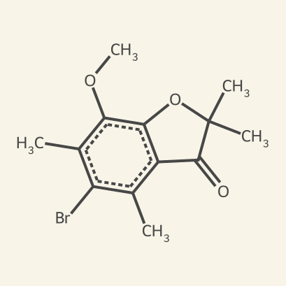 COc1c(C)c(Br)c(C)c2c1OC(C)(C)C2=O